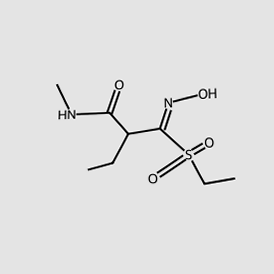 CCC(C(=O)NC)/C(=N/O)S(=O)(=O)CC